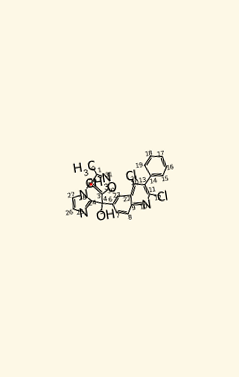 Cc1cc(C(O)(c2ccc3nc(Cl)c(-c4ccccc4)c(Cl)c3c2)c2nccn2C)on1